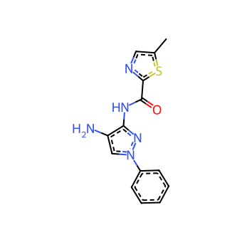 Cc1cnc(C(=O)Nc2nn(-c3ccccc3)cc2N)s1